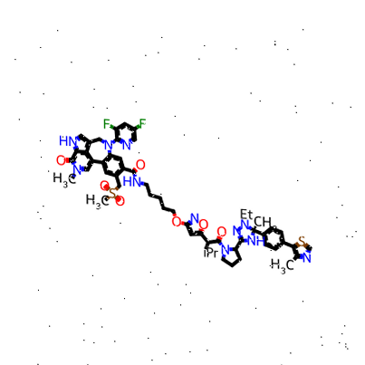 CCN1N=C(C2CCCN2C(=O)C(c2cc(OCCCCCNC(=O)c3cc4c(cc3CS(C)(=O)=O)-c3cn(C)c(=O)c5[nH]cc(c35)CN4c3ncc(F)cc3F)no2)C(C)C)N[C@@]1(C)c1ccc(-c2scnc2C)cc1